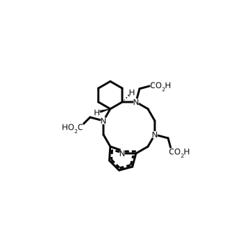 O=C(O)CN1CCN(CC(=O)O)[C@@H]2CCCC[C@H]2N(CC(=O)O)Cc2cccc(n2)C1